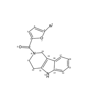 O=C(c1ccc(Br)o1)N1CCc2[nH]c3ccccc3c2C1